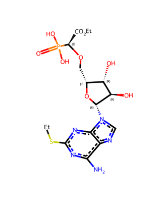 CCOC(=O)[C@@H](OC[C@H]1O[C@@H](n2cnc3c(N)nc(SCC)nc32)[C@H](O)[C@H]1O)P(=O)(O)O